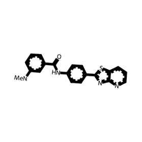 CNc1cccc(C(=O)Nc2ccc(-c3nc4ncccc4s3)cc2)c1